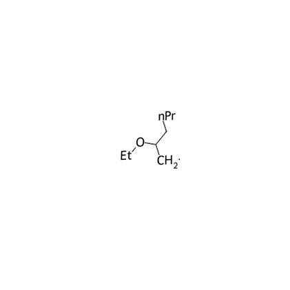 [CH2]C(CCCC)OCC